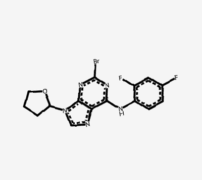 Fc1ccc(Nc2nc(Br)nc3c2ncn3C2CCCO2)c(F)c1